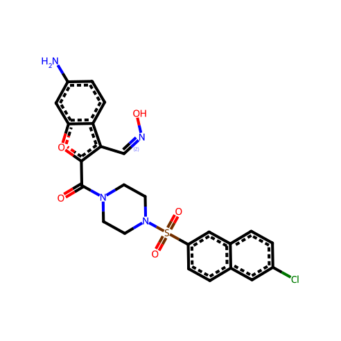 Nc1ccc2c(/C=N\O)c(C(=O)N3CCN(S(=O)(=O)c4ccc5cc(Cl)ccc5c4)CC3)oc2c1